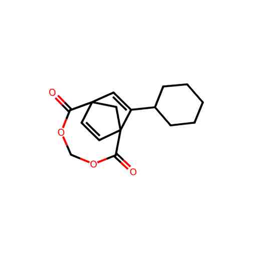 O=C1OCOC(=O)C23C=CC1(C=C2C1CCCCC1)C3